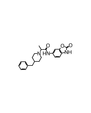 CC(C(=O)Nc1ccc2[nH]c(=O)oc2c1)N1CCC(Cc2ccccc2)CC1